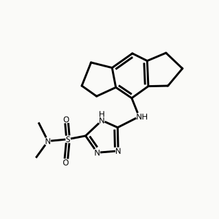 CN(C)S(=O)(=O)c1nnc(Nc2c3c(cc4c2CCC4)CCC3)[nH]1